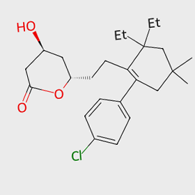 CCC1(CC)CC(C)(C)CC(c2ccc(Cl)cc2)=C1CC[C@H]1C[C@H](O)CC(=O)O1